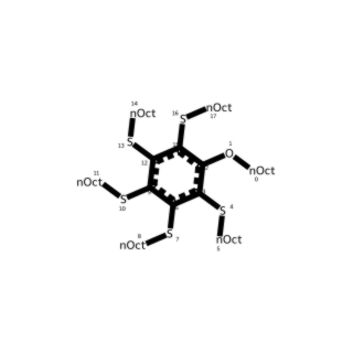 CCCCCCCCOc1c(SCCCCCCCC)c(SCCCCCCCC)c(SCCCCCCCC)c(SCCCCCCCC)c1SCCCCCCCC